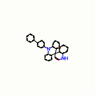 c1ccc(-c2ccc(N3c4ccccc4C4(c5ccccc5Nc5ccccc54)c4ccccc43)cc2)cc1